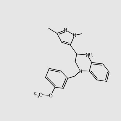 Cc1cc(C2CN(Cc3cccc(OC(F)(F)F)c3)c3ccccc3N2)n(C)n1